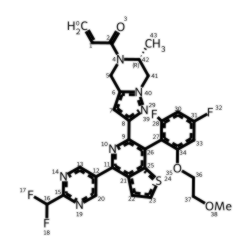 C=CC(=O)N1Cc2cc(-c3nc(-c4cnc(C(F)F)nc4)c4ccsc4c3-c3c(F)cc(F)cc3OCCOC)nn2C[C@H]1C